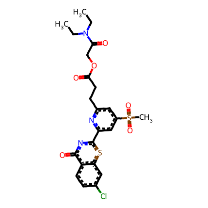 CCN(CC)C(=O)COC(=O)CCc1cc(S(C)(=O)=O)cc(-c2nc(=O)c3ccc(Cl)cc3s2)n1